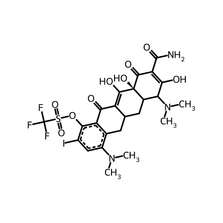 CN(C)c1cc(I)c(OS(=O)(=O)C(F)(F)F)c2c1CC1CC3C(N(C)C)C(O)=C(C(N)=O)C(=O)[C@@]3(O)C(O)=C1C2=O